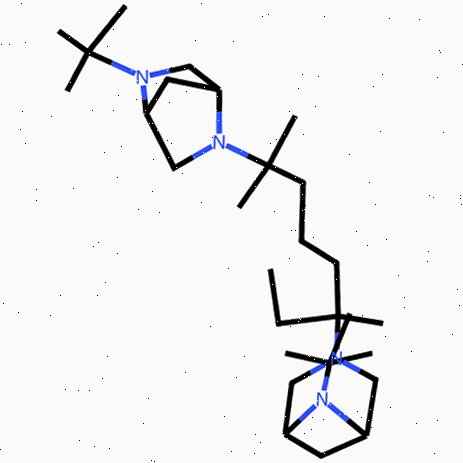 CCC(C)(CCCC(C)(C)N1CC2CC1CN2C(C)(C)C)N1CC2CC(C1)N2C(C)(C)C